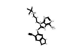 C#Cc1cc2c(cc1Sc1nc3c(N)ncnc3n1CCCNC(C)(C)C)CCC2